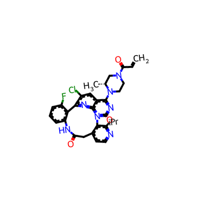 C=CC(=O)N1CCN(c2nc(=O)n3c4nc(c(Cl)cc24)-c2c(F)cccc2NC(=O)Cc2ccnc(C(C)C)c2-3)[C@H](C)C1